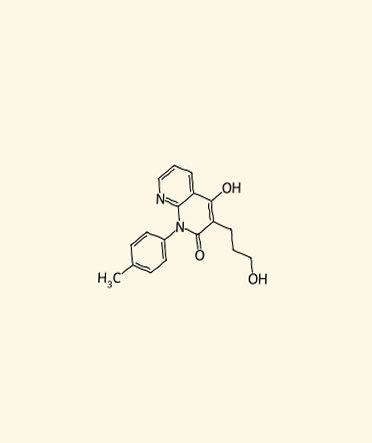 Cc1ccc(-n2c(=O)c(CCCO)c(O)c3cccnc32)cc1